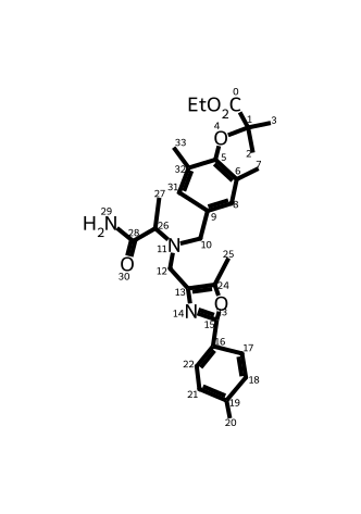 CCOC(=O)C(C)(C)Oc1c(C)cc(CN(Cc2nc(-c3ccc(C)cc3)oc2C)C(C)C(N)=O)cc1C